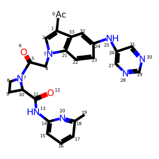 CC(=O)c1cn(CC(=O)N2CCC2C(=O)Nc2cccc(C)n2)c2ccc(Nc3cncnc3)cc12